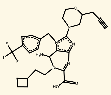 C#CCC1CN(c2nc3c(n2Cc2ccc(C(F)(F)F)cc2)C(N)N(CCC2CCC2)C(C(=O)O)=N3)CCO1